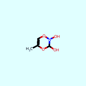 CC1=CON(O)C(O)O1